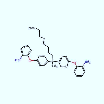 CCCCCCCCCCCCCCCCCC(C)(c1ccc(Oc2ccccc2N)cc1)c1ccc(Oc2ccccc2N)cc1